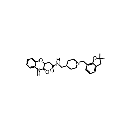 CC1(C)Cc2cccc(CN3CCC(CNC(=O)CC4Oc5ccccc5NC4=O)CC3)c2O1